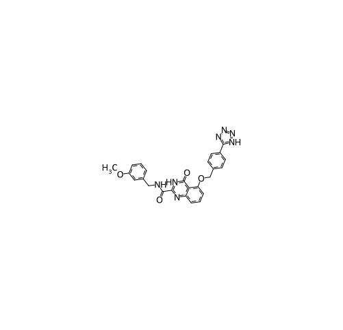 COc1cccc(CNC(=O)c2nc3cccc(OCc4ccc(-c5nnn[nH]5)cc4)c3c(=O)[nH]2)c1